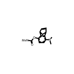 CNC(=O)Oc1ccc(N(C)C)c2c1C1C=CC2C1